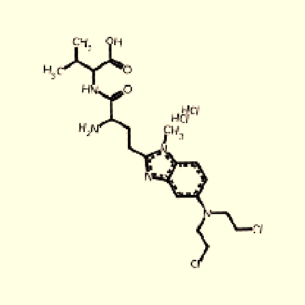 CC(C)C(NC(=O)C(N)CCc1nc2cc(N(CCCl)CCCl)ccc2n1C)C(=O)O.Cl.Cl